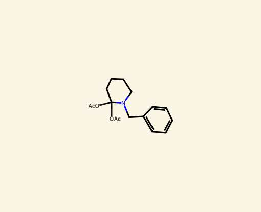 CC(=O)OC1(OC(C)=O)CCCCN1Cc1ccccc1